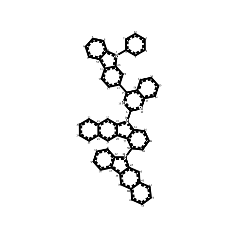 c1ccc(-n2c3ccccc3c3ccc(-c4nc(-n5c6cc7ccccc7cc6c6c(-n7c8ccccc8c8cc9ccccc9cc87)cccc65)nc5ccccc45)cc32)cc1